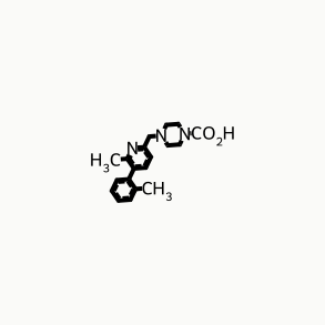 Cc1ccccc1-c1ccc(CN2CCN(C(=O)O)CC2)nc1C